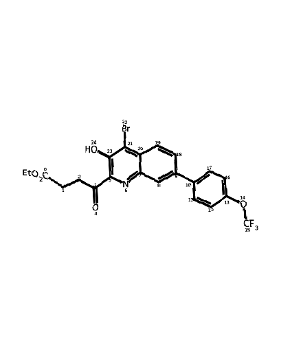 CCOC(=O)CCC(=O)c1nc2cc(-c3ccc(OC(F)(F)F)cc3)ccc2c(Br)c1O